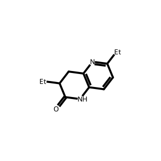 CCc1ccc2c(n1)CC(CC)C(=O)N2